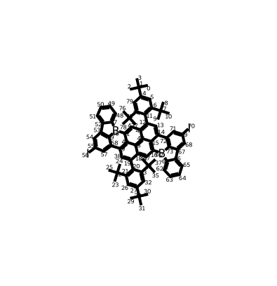 CC(C)(C)c1cc(C(C)(C)C)c(-c2cc3c4c(cc5c(-c6c(C(C)(C)C)cc(C(C)(C)C)cc6C(C)(C)C)cc6c7c(cc2c4c57)B2c4ccccc4-c4cc(I)cc-6c42)B2c4ccccc4-c4cc(I)cc-3c42)c(C(C)(C)C)c1